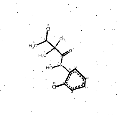 CC(Cl)C(C)(C)C(=O)N(O)c1ccccc1Cl